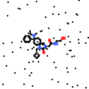 CCN(C)[C@]1(c2ccccc2)CC[C@@]2(CC1)CN(CC(=O)NCCO)C(=O)N2CC1CCC1